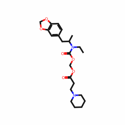 CCN(C(=O)OCOC(=O)CCN1CCCCC1)C(C)Cc1ccc2c(c1)OCO2